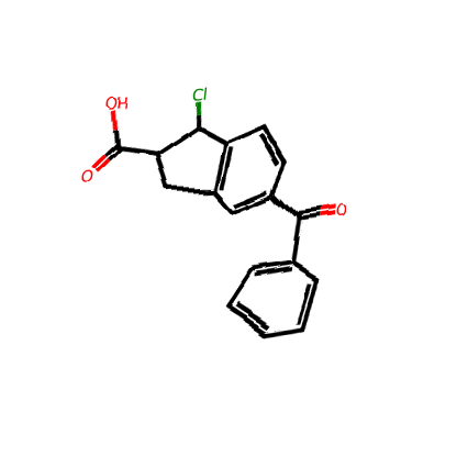 O=C(c1ccccc1)c1ccc2c(c1)CC(C(=O)O)C2Cl